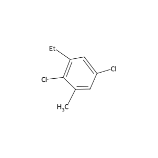 CCc1cc(Cl)cc(C)c1Cl